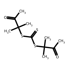 CC(=O)C(C)(C)SC(=S)SC(C)(C)C(C)=O